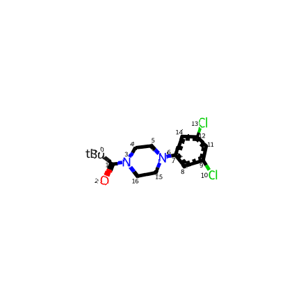 CC(C)(C)C(=O)N1CCN(c2cc(Cl)cc(Cl)c2)CC1